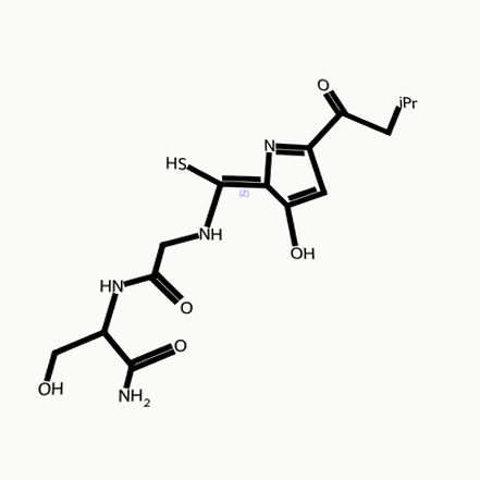 CC(C)CC(=O)C1=N/C(=C(\S)NCC(=O)NC(CO)C(N)=O)C(O)=C1